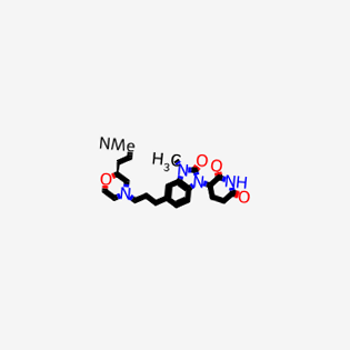 CNCC[C@H]1CN(CCCc2ccc3c(c2)n(C)c(=O)n3C2CCC(=O)NC2=O)CCO1